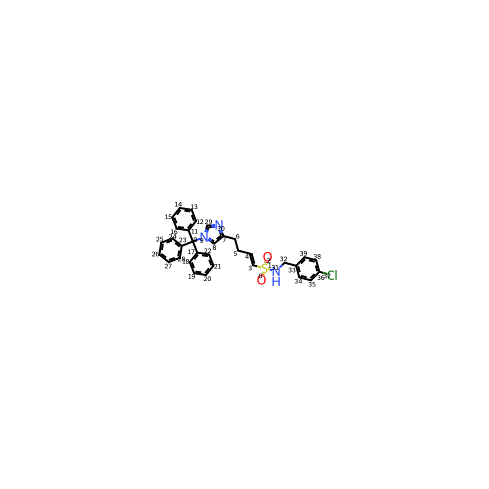 O=S(=O)(C=CCCc1cn(C(c2ccccc2)(c2ccccc2)c2ccccc2)cn1)NCc1ccc(Cl)cc1